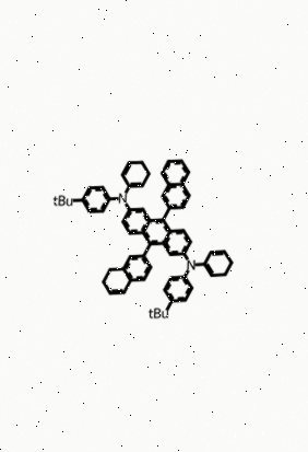 CC(C)(C)c1ccc(N(C2=CCCC=C2)c2ccc3c(-c4ccc5ccccc5c4)c4cc(N(C5=CCCC=C5)c5ccc(C(C)(C)C)cc5)ccc4c(-c4ccc5c(c4)CCC=C5)c3c2)cc1